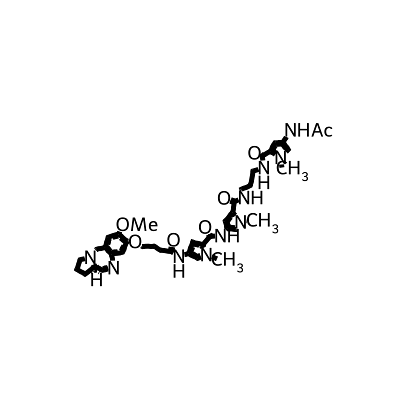 COc1cc2c(cc1OCCCC(=O)Nc1cc(C(=O)Nc3cc(C(=O)NCCCNC(=O)c4cc(NC(C)=O)cn4C)n(C)c3)n(C)c1)N=C[C@@H]1CCCN1C2